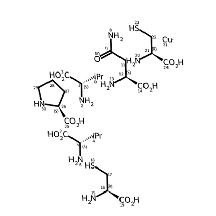 CC(C)[C@H](N)C(=O)O.CC(C)[C@H](N)C(=O)O.NC(=O)C[C@H](N)C(=O)O.N[C@@H](CS)C(=O)O.N[C@@H](CS)C(=O)O.O=C(O)[C@@H]1CCCN1.[Cu]